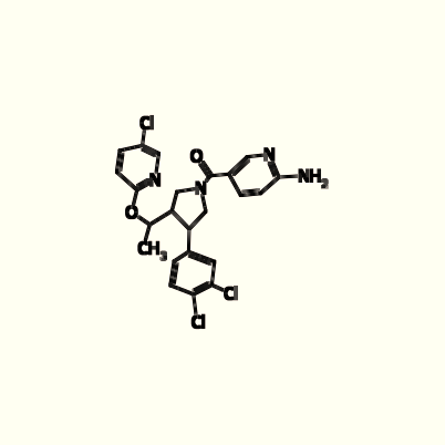 CC(Oc1ccc(Cl)cn1)C1CN(C(=O)c2ccc(N)nc2)CC1c1ccc(Cl)c(Cl)c1